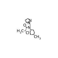 Cc1ccc(N(Cn2cccn2)C(=O)C(C)Cl)cc1